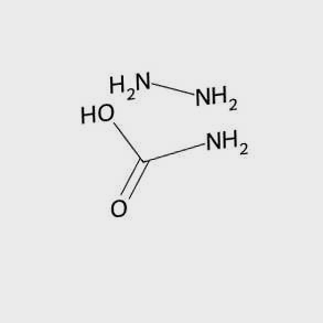 NC(=O)O.NN